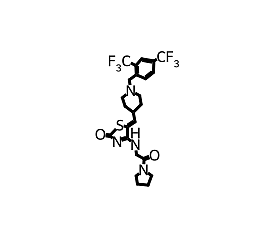 O=C1N=C(NCC(=O)N2CCCC2)C(=CC2CCN(Cc3ccc(C(F)(F)F)cc3C(F)(F)F)CC2)S1